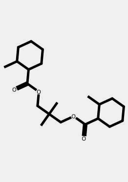 CC1CCCCC1C(=O)OCC(C)(C)COC(=O)C1CCCCC1C